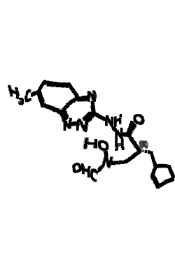 Cc1ccc2nc(NNC(=O)[C@H](CC3CCCC3)CN(O)C=O)nnc2c1